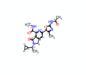 CNC(=O)c1nc(-c2sc(NC(C)=O)nc2C)cc2c1C(=O)N(C(C)C1CC1)C2